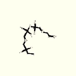 CCC(F)(F)COCC(F)(F)OC(F)(F)COCCO